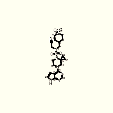 N#CCN(CC1CCS(=O)(=O)CC1)S(=O)(=O)N1CCN(c2ncnc3[nH]ccc23)CC12CC2